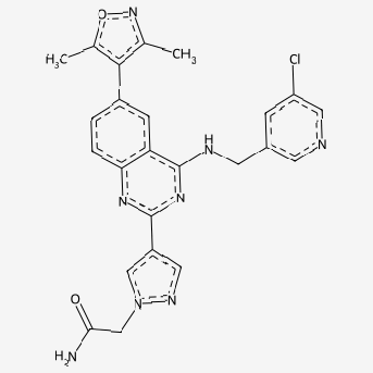 Cc1noc(C)c1-c1ccc2nc(-c3cnn(CC(N)=O)c3)nc(NCc3cncc(Cl)c3)c2c1